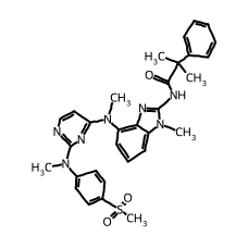 CN(c1ccc(S(C)(=O)=O)cc1)c1nccc(N(C)c2cccc3c2nc(NC(=O)C(C)(C)c2ccccc2)n3C)n1